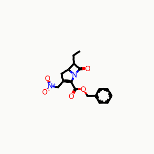 CCC1C(=O)N2C(C(=O)OCc3ccccc3)=C(C[N+](=O)[O-])CC12